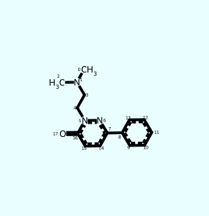 CN(C)CCn1nc(-c2ccccc2)ccc1=O